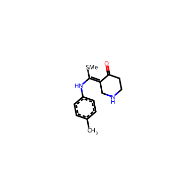 CSC(Nc1ccc(C)cc1)=C1CNCCC1=O